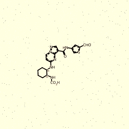 O=Cc1cc(NC(=O)c2cnn3ccc(N[C@@H]4CCCC[C@@H]4NC(=O)O)nc23)cs1